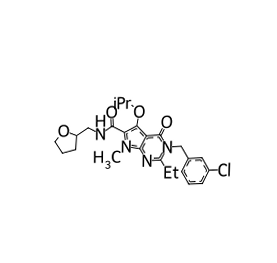 CCc1nc2c(c(OC(C)C)c(C(=O)NCC3CCCO3)n2C)c(=O)n1Cc1cccc(Cl)c1